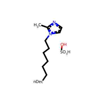 CCCCCCCCCCCCCCCCn1ccnc1C.O=S(=O)(O)O